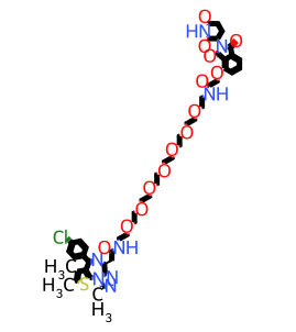 Cc1sc2c(c1C)C(c1ccc(Cl)cc1)=N[C@@H](CC(=O)NCCOCCOCCOCCOCCOCCOCCOCCNC(=O)COc1cccc3c1C(=O)N(C1CCC(=O)NC1=O)C3=O)c1nnc(C)n1-2